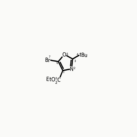 CCOC(=O)c1nc(C(C)(C)C)oc1Br